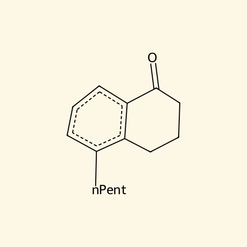 CCCCCc1cccc2c1CCCC2=O